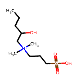 CCCC(O)C[N+](C)(C)CCCS(=O)(=O)O